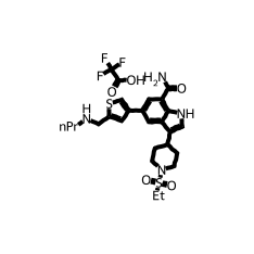 CCCNCc1cc(-c2cc(C(N)=O)c3[nH]cc(C4CCN(S(=O)(=O)CC)CC4)c3c2)cs1.O=C(O)C(F)(F)F